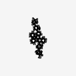 CC1(C)CSC(c2ccc(-c3ccc4c(c3)C(c3ccccc3)(c3ccccc3)c3cc(-c5ccc(C6=NC(C)(C)CS6)cn5)c5ccccc5c3-4)nc2)=N1